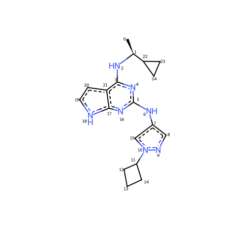 C[C@H](Nc1nc(Nc2cnn(C3CCC3)c2)nc2[nH]ccc12)C1CC1